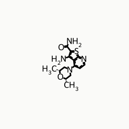 C[C@@H]1CN(c2ccnc3sc(C(N)=O)c(N)c23)C[C@H](C)O1